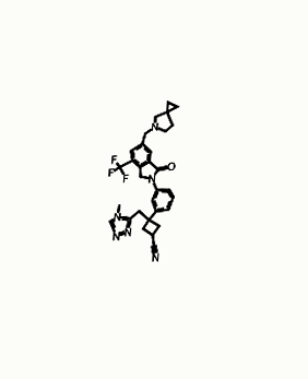 Cn1cnnc1CC1(c2cccc(N3Cc4c(cc(CN5CCC6(CC6)C5)cc4C(F)(F)F)C3=O)c2)CC(C#N)C1